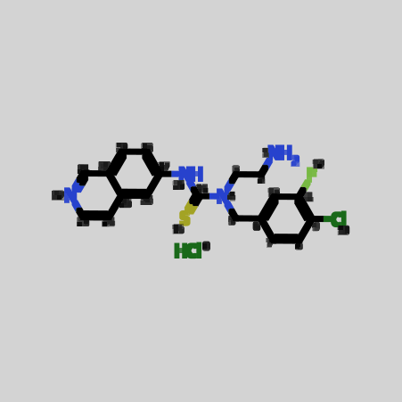 Cl.NCCN(Cc1ccc(Cl)c(F)c1)C(=S)Nc1ccc2cnccc2c1